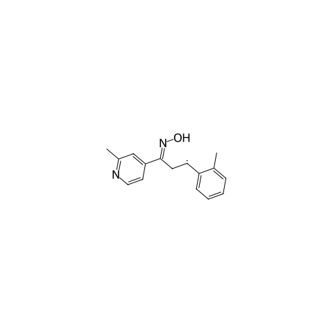 Cc1cc(C(C[CH]c2ccccc2C)=NO)ccn1